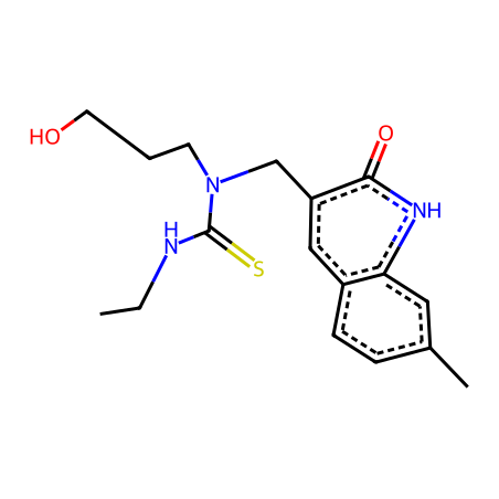 CCNC(=S)N(CCCO)Cc1cc2ccc(C)cc2[nH]c1=O